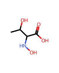 CC(O)C(NO)C(=O)O